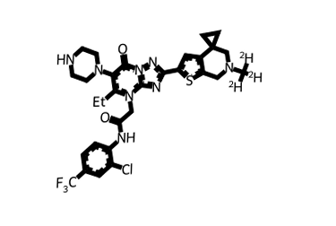 [2H]C([2H])([2H])N1Cc2sc(-c3nc4n(CC(=O)Nc5ccc(C(F)(F)F)cc5Cl)c(CC)c(N5CCNCC5)c(=O)n4n3)cc2C2(CC2)C1